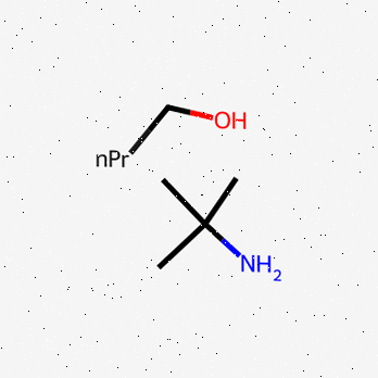 CC(C)(C)N.CCCCO